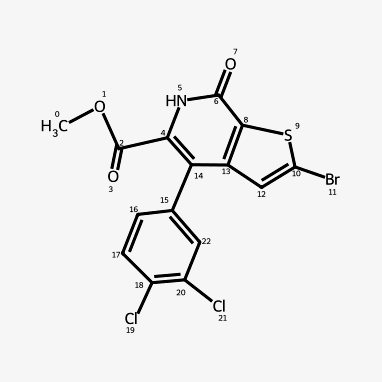 COC(=O)c1[nH]c(=O)c2sc(Br)cc2c1-c1ccc(Cl)c(Cl)c1